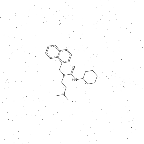 CN(C)CCN(Cc1cccc2ccccc12)C(=O)NC1CCCCC1